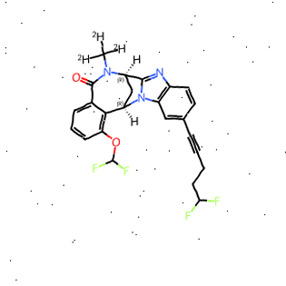 [2H]C([2H])([2H])N1C(=O)c2cccc(OC(F)F)c2[C@H]2C[C@@H]1c1nc3ccc(C#CCCC(F)F)cc3n12